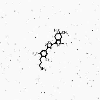 CCn1nc(-c2nc(-c3cc(C)c(CCCN)c(C)c3)no2)c2c1CC(C)(C)CC2